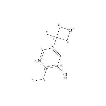 CCc1ncc(C2(C)COC2)cc1Cl